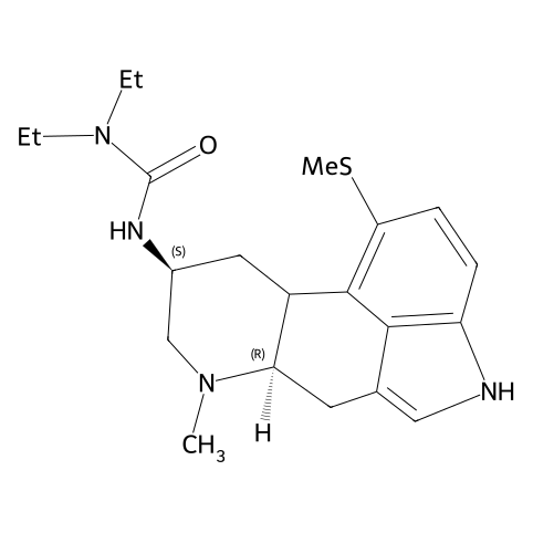 CCN(CC)C(=O)N[C@H]1CC2c3c(SC)ccc4[nH]cc(c34)C[C@H]2N(C)C1